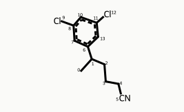 CC(CCCC#N)c1cc(Cl)cc(Cl)c1